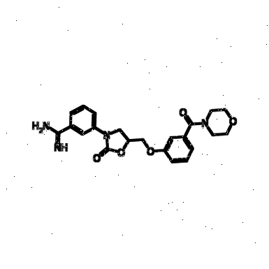 N=C(N)c1cccc(N2CC(COc3cccc(C(=O)N4CCOCC4)c3)OC2=O)c1